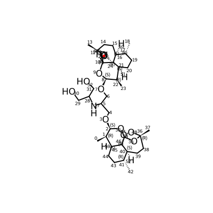 C[C@H]1[C@@H](OCC(CO[C@H]2O[C@@H]3O[C@@]4(C)CC[C@H]5[C@H](C)CC[C@@H]([C@H]2C)[C@@]35OO4)NC(CO)CO)OC2O[C@@]3(C)CC[C@H]4[C@H](C)CC[C@@H]1[C@@]24OO3